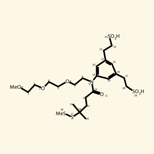 COCCOCCOCCN(C(=O)CCC(C)(C)SSC)c1cc(CCS(=O)(=O)O)cc(CCS(=O)(=O)O)c1